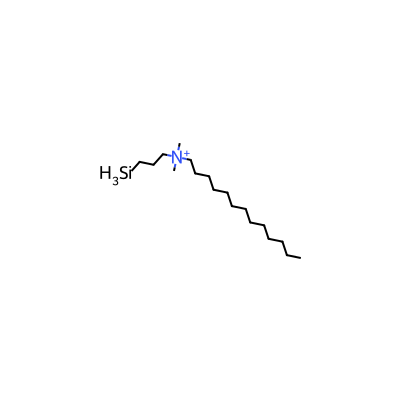 CCCCCCCCCCCCC[N+](C)(C)CCC[SiH3]